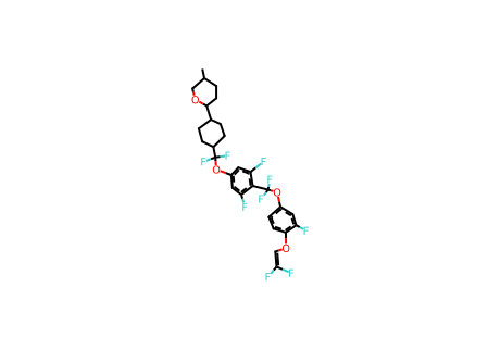 CC1CCC(C2CCC(C(F)(F)Oc3cc(F)c(C(F)(F)Oc4ccc(OC=C(F)F)c(F)c4)c(F)c3)CC2)OC1